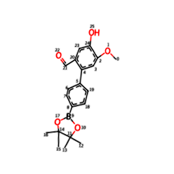 COc1cc(-c2ccc(B3OC(C)(C)C(C)(C)O3)cc2)c(C=O)cc1O